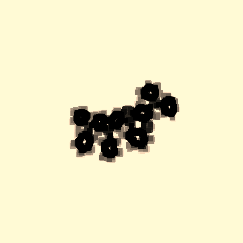 c1cccc(N(c2ccccc2)c2cc3c4c(c2)Oc2cc5c6ccc(N(c7ccccc7)c7ccccc7)cc6n(-c6ccccc6)c5cc2B4c2ccccc2O3)c#1